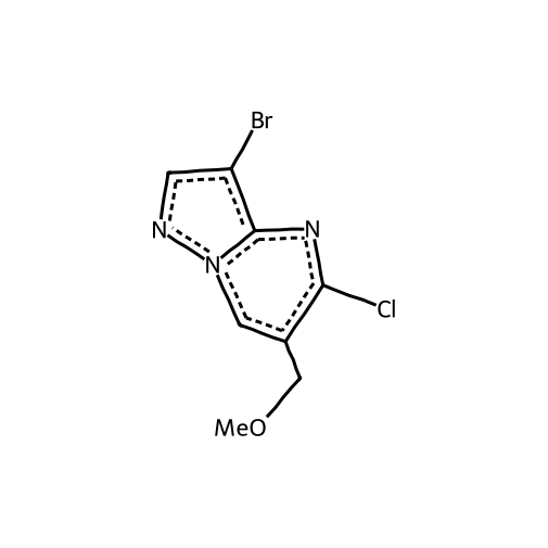 COCc1cn2ncc(Br)c2nc1Cl